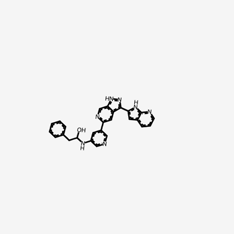 OC(Cc1ccccc1)Nc1cncc(-c2cc3c(-c4cc5cccnc5[nH]4)n[nH]c3cn2)c1